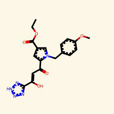 CCOC(=O)c1cc(C(=O)C=C(O)c2nn[nH]n2)n(Cc2ccc(OC)cc2)c1